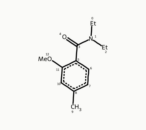 CCN(CC)C(=O)c1ccc(C)cc1OC